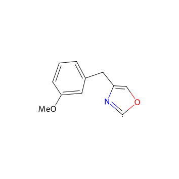 COc1cccc(Cc2co[c]n2)c1